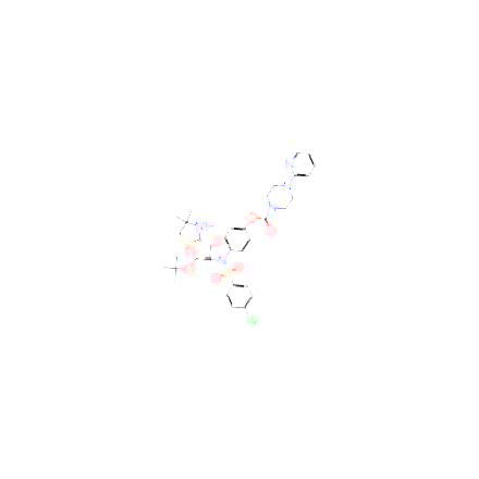 CC1(C)CS[C@@H](C(=O)[C@](C)(C(=O)OC(C)(C)C)N(c2ccc(OC(=O)N3CCN(c4ccccn4)CC3)cc2)S(=O)(=O)c2ccc(Br)cc2)N1